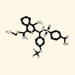 C=C(OCC)c1nc(C(NS(=O)(=O)c2ccc(C(=O)O)cc2)c2ccc(OC(F)(F)F)cc2)c(C)c2ccccc12